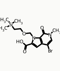 Cn1cc(Br)c2cc(C(=O)O)n(COCC[Si](C)(C)C)c2c1=O